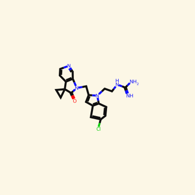 N=C(N)NCCn1c(CN2C(=O)C3(CC3)c3ccncc32)cc2cc(Cl)ccc21